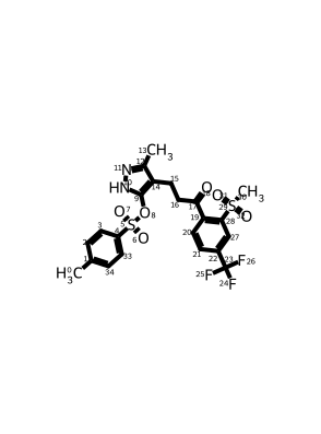 Cc1ccc(S(=O)(=O)Oc2[nH]nc(C)c2CCC(=O)c2ccc(C(F)(F)F)cc2S(C)(=O)=O)cc1